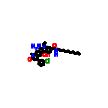 C=CN(C)/C(=C\N)C(O)(c1ccc(C(=O)NCCCCCCCCCC)cc1)c1ccc2c(c1)c(-c1cccc(Cl)c1)cc(=O)n2C